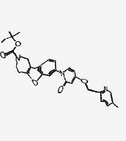 Cc1ccc(COc2ccn(-c3ccc4c5c(oc4c3)CCN(C(=O)OC(C)(C)C)C5)c(=O)c2)nc1